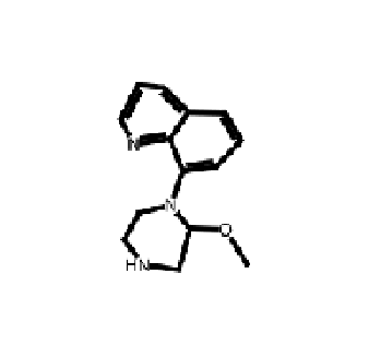 COC1CNCCN1c1cccc2cccnc12